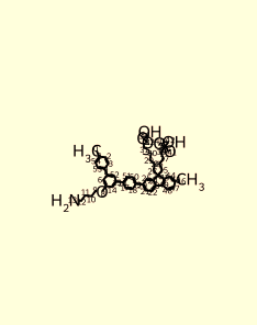 Cc1ccc(-c2cc(OCCCCN)cc(-c3ccc(-c4ccc5c(c4)C(CCCCSOOO)(CCCCS(=O)(=O)O)c4cc(C)ccc4-5)cc3)c2)cc1